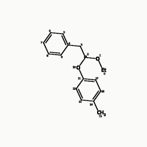 CCOP(Cc1ccccc1)Oc1ccc(C)cc1